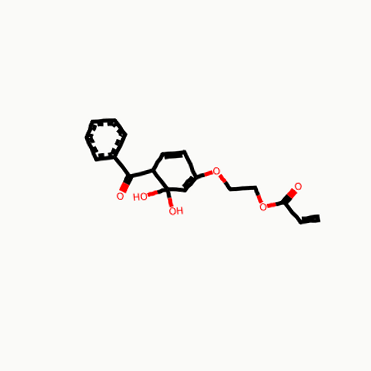 C=CC(=O)OCCOC1=CC(O)(O)C(C(=O)c2ccccc2)C=C1